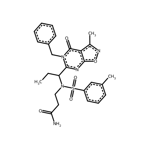 CCC(c1nc2onc(C)c2c(=O)n1Cc1ccccc1)N(CCC(N)=O)S(=O)(=O)c1cccc(C)c1